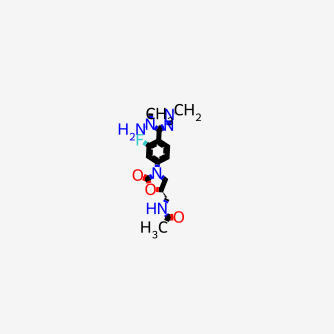 C=N/N=C(/c1ccc(N2C[C@H](CNC(C)=O)OC2=O)cc1F)N(C)N